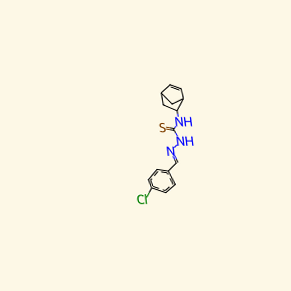 S=C(NN=Cc1ccc(Cl)cc1)NC1CC2C=CC1C2